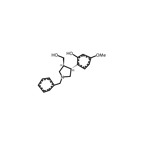 COc1ccc([C@@H]2CN(Cc3ccccc3)C[C@H]2CO)c(O)c1